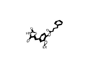 CCOc1cc(/C=C2\SC(=O)NC2=O)ccc1OC(=O)CCCc1ccccc1